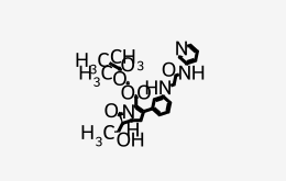 C[C@@H](O)[C@H]1C(=O)N2C(C(=O)OCOC(=O)C(C)(C)C)=C(c3cccc(NCC(=O)Nc4cccnc4)c3)C[C@H]12